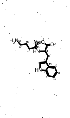 COC(=O)C(Cc1c[nH]c2ccccc12)NC(=O)CCCN